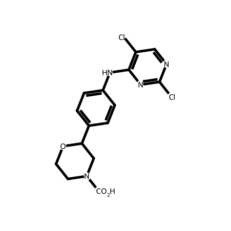 O=C(O)N1CCOC(c2ccc(Nc3nc(Cl)ncc3Cl)cc2)C1